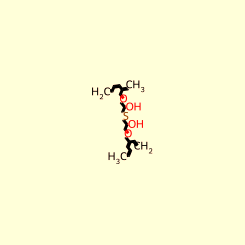 C=C/C=C\C(=C/C)COCC(O)CSCC(O)COC/C(C=C)=C/C=C\C